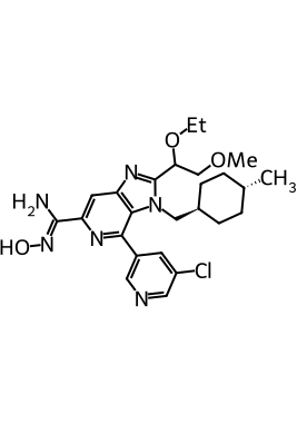 CCOC(COC)c1nc2cc(/C(N)=N/O)nc(-c3cncc(Cl)c3)c2n1C[C@H]1CC[C@H](C)CC1